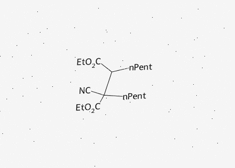 CCCCCC(C(=O)OCC)C(C#N)(CCCCC)C(=O)OCC